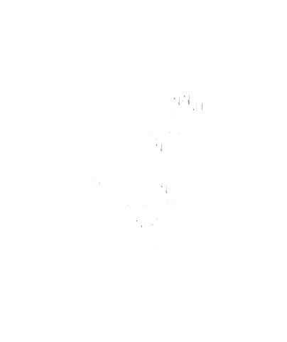 O=C(c1cc(OCC2CCOCC2)nc(C2CC2)c1)N1CCC2CN(C(=O)c3ccc4[nH]nnc4c3)CC2CC1